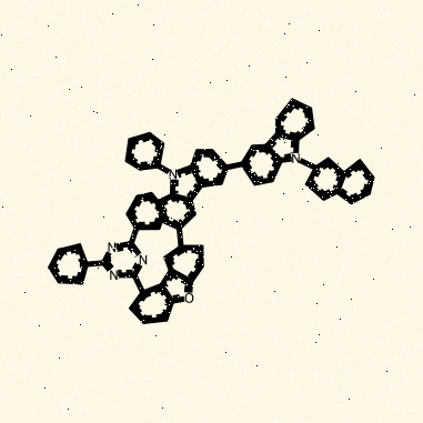 c1ccc(-c2nc(-c3ccccc3)nc(-c3cccc4oc5ccc(-c6ccc7c(c6)c6cc(-c8ccc9c(c8)c8ccccc8n9-c8ccc9ccccc9c8)ccc6n7-c6ccccc6)cc5c34)n2)cc1